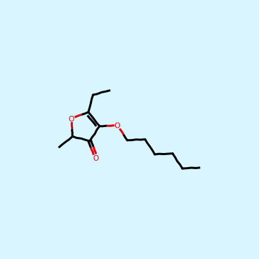 CCCCCCOC1=C(CC)OC(C)C1=O